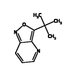 CC(C)(C)c1onc2cccnc12